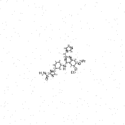 CCOc1cc2c(Nc3cccc(-c4csc(C(N)=O)n4)c3)nc(Cn3ccnc3)nc2cc1OC(C)C